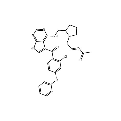 CC(=O)/C=C/CN1CCCC1CNc1ncnc2[nH]cc(C(=O)c3ccc(Oc4ccccc4)cc3Cl)c12